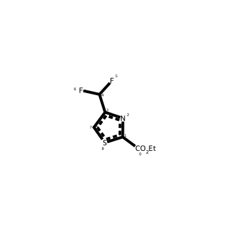 CCOC(=O)c1nc(C(F)F)cs1